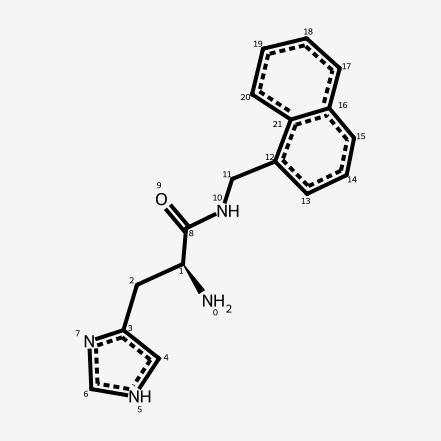 N[C@@H](Cc1c[nH]cn1)C(=O)NCc1cccc2ccccc12